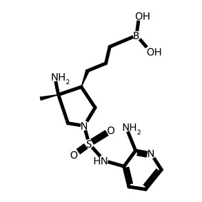 C[C@]1(N)CN(S(=O)(=O)Nc2cccnc2N)C[C@@H]1CCCB(O)O